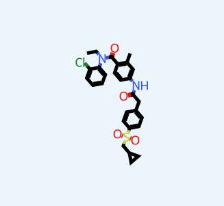 CCN(C(=O)c1ccc(NC(=O)Cc2ccc(S(=O)(=O)CC3CC3)cc2)cc1C)c1ccccc1Cl